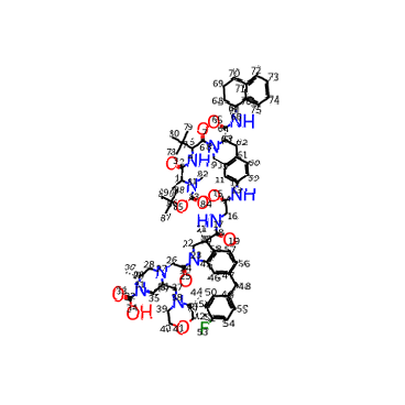 CC(C(=O)NC(C(=O)N1Cc2cc(NC(=O)CNC(=O)[C@]3(C)CN(C(=O)CN4C[C@@H](C)N(C(=O)O)C[C@@H]4CN4CCOC[C@H]4C)c4cc(Cc5ccc(F)cc5)ccc43)ccc2C[C@H]1C(=O)N[C@@H]1CCCc2ccccc21)C(C)(C)C)N(C)C(=O)OC(C)(C)C